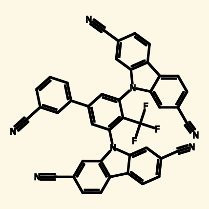 N#Cc1cccc(-c2cc(-n3c4cc(C#N)ccc4c4ccc(C#N)cc43)c(C(F)(F)F)c(-n3c4cc(C#N)ccc4c4ccc(C#N)cc43)c2)c1